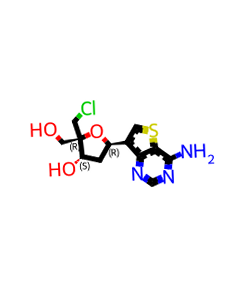 Nc1ncnc2c([C@H]3C[C@H](O)[C@](CO)(CCl)O3)csc12